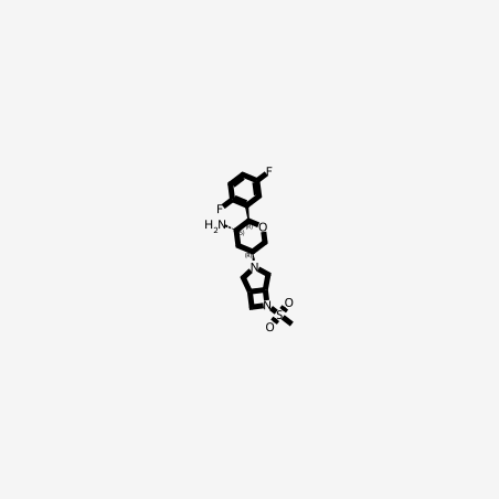 CS(=O)(=O)N1CC2CN([C@H]3CO[C@H](c4cc(F)ccc4F)[C@@H](N)C3)CC21